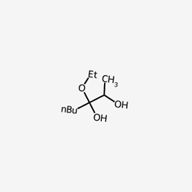 CCCCC(O)(OCC)C(C)O